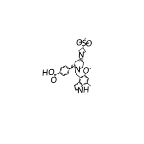 COc1cc(C)c2[nH]ccc2c1CN1CC[C@@H](N2CC(S(C)(=O)=O)C2)C[C@@H]1c1ccc(C(=O)O)cc1